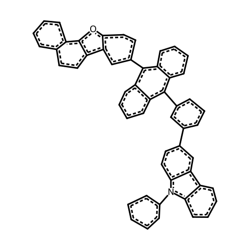 c1ccc(-n2c3ccccc3c3cc(-c4cccc(-c5c6ccccc6c(-c6ccc7oc8c9ccccc9ccc8c7c6)c6ccccc56)c4)ccc32)cc1